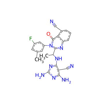 Cc1cc(F)cc(-n2c(C(C)Nc3nc(N)nc(N)c3C#N)nc3cccc(C#N)c3c2=O)c1